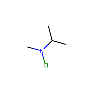 CC(C)N(C)Cl